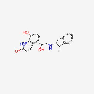 C[C@H]1c2ccccc2C[C@H]1NCC(O)c1ccc(O)c2[nH]c(=O)ccc12